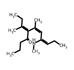 CC\C=C(/C=C(C)\C(C(=O)CCC)=C(\C)CC)NC